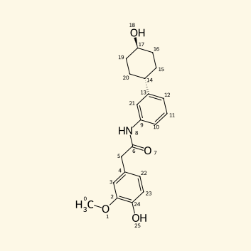 COc1cc(CC(=O)Nc2cccc([C@H]3CC[C@H](O)CC3)c2)ccc1O